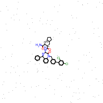 CCC[C@H](C(N)=O)[C@@H](CC1CCCC1)C(=O)NC1N=C(c2ccccc2)c2ccccc2N(Cc2cccc(-c3ccc(Cl)cc3Cl)c2)C1=O